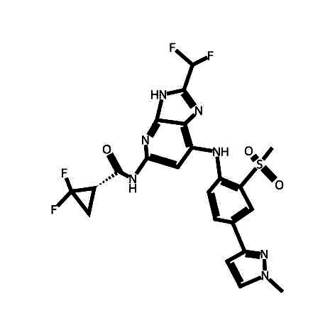 Cn1ccc(-c2ccc(Nc3cc(NC(=O)[C@@H]4CC4(F)F)nc4[nH]c(C(F)F)nc34)c(S(C)(=O)=O)c2)n1